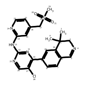 CC1(C)CN=Cc2ccc(-c3nc(Nc4cc(CS(C)(=O)=O)ccn4)ncc3Cl)cc21